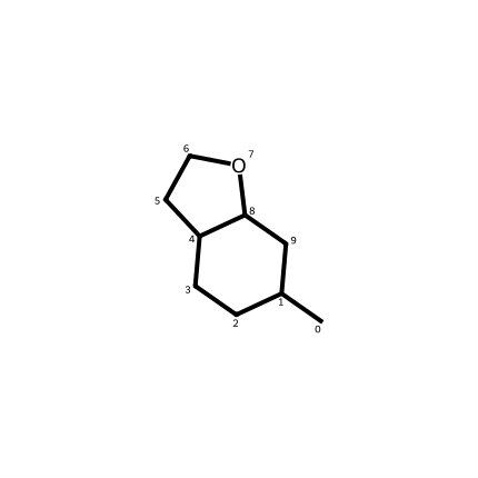 CC1CCC2CCOC2C1